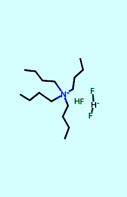 CCCC[N+](CCCC)(CCCC)CCCC.F.F[H-]F